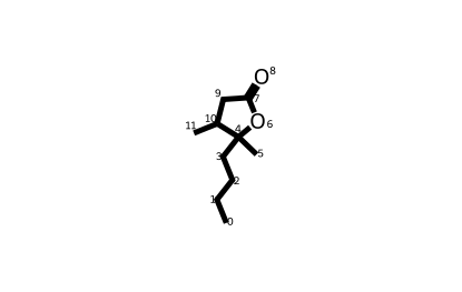 CCCCC1(C)OC(=O)CC1C